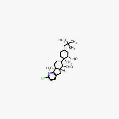 CC(C)(C[C@H]1CC[C@](C)([C@H]2CC[C@]3(C)c4nc(Cl)ccc4C[C@H]3[C@@H]2C=O)[C@@H](C=O)C1)C(=O)O